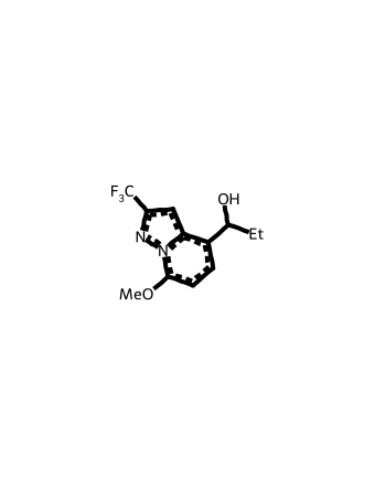 CCC(O)c1ccc(OC)n2nc(C(F)(F)F)cc12